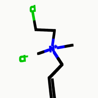 C=CC[N+](C)(C)CCCl.[Cl-]